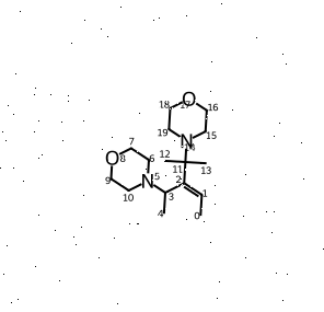 C/C=C(\C(C)N1CCOCC1)C(C)(C)N1CCOCC1